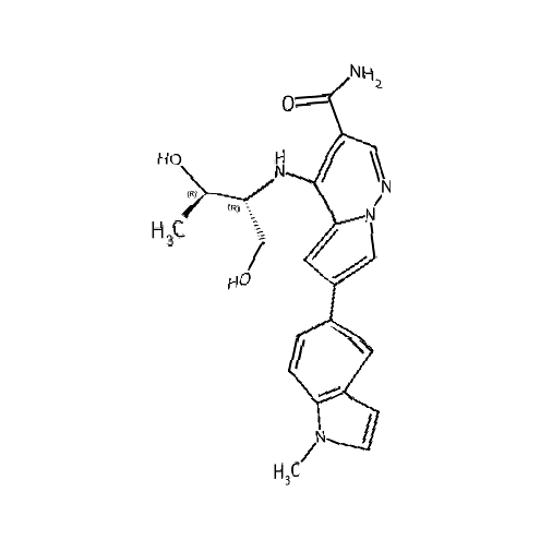 C[C@@H](O)[C@@H](CO)Nc1c(C(N)=O)cnn2cc(-c3ccc4c(ccn4C)c3)cc12